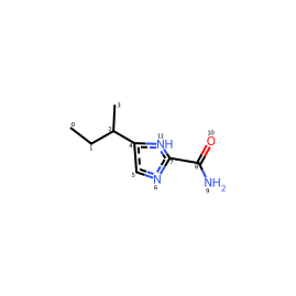 CCC(C)c1cnc(C(N)=O)[nH]1